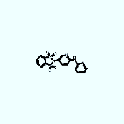 O=S1(=O)c2ccccc2S(=O)(=O)N1c1ccc(Nc2ccccn2)nc1